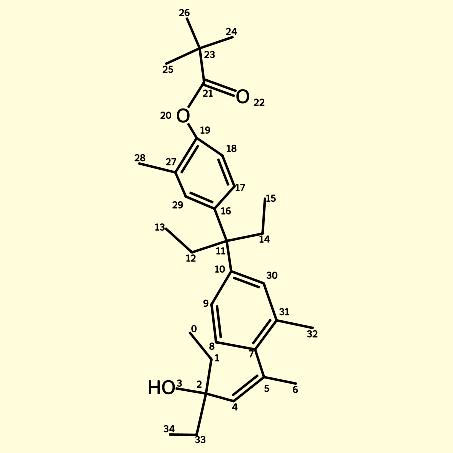 CCC(O)(/C=C(/C)c1ccc(C(CC)(CC)c2ccc(OC(=O)C(C)(C)C)c(C)c2)cc1C)CC